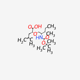 C=C(C)C[C@H](OCC(NC(=O)OC(C)(C)C)[C@@H](C)CC)C(=O)O